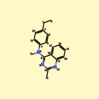 CCc1ccc(N(C)c2nc(C)nc3ccccc23)cc1